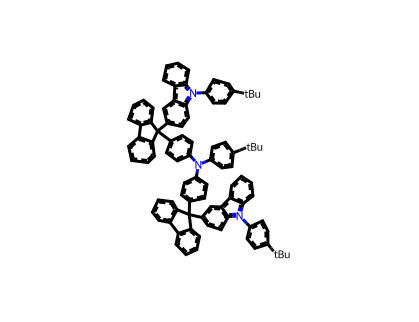 CC(C)(C)c1ccc(N(c2ccc(C3(c4ccc5c(c4)c4ccccc4n5-c4ccc(C(C)(C)C)cc4)c4ccccc4-c4ccccc43)cc2)c2ccc(C3(c4ccc5c(c4)c4ccccc4n5-c4ccc(C(C)(C)C)cc4)c4ccccc4-c4ccccc43)cc2)cc1